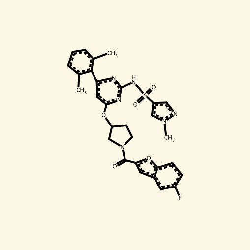 Cc1cccc(C)c1-c1cc(OC2CCN(C(=O)c3cc4cc(F)ccc4o3)C2)nc(NS(=O)(=O)c2cnn(C)c2)n1